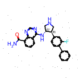 NC(=O)c1cccc2c(N[C@@H]3CNC[C@H]3c3ccc(-c4ccccc4)c(F)c3)ncnc12